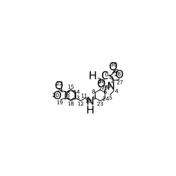 CC1=C(N2CC[C@]3(CC[C@@H](NCCc4ccc5c(c4)COC5=O)CC3)C2=O)COC1=O